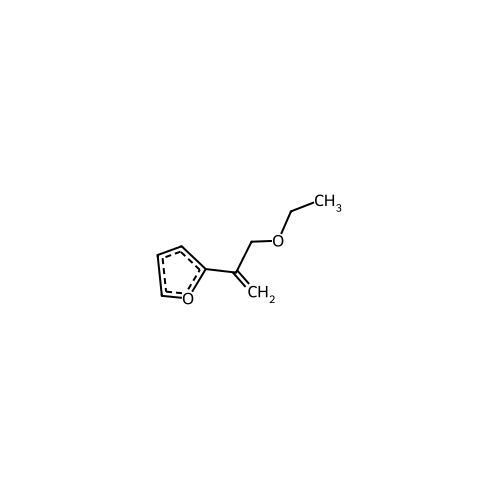 C=C(COCC)c1ccco1